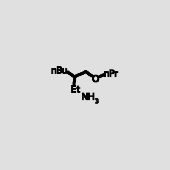 CCCCC(CC)COCCC.N